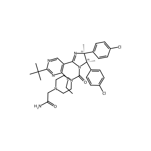 CCOc1nc(C(C)(C)C)ncc1C1=N[C@@](C)(c2ccc(Cl)cc2)[C@@](C)(c2ccc(Cl)cc2)N1C(=O)N1CCN(CC(N)=O)CC1